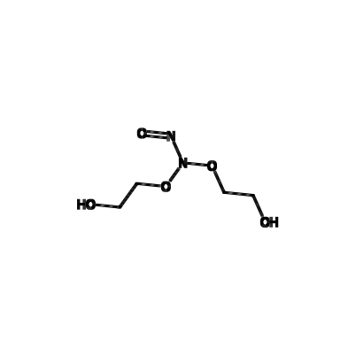 O=NN(OCCO)OCCO